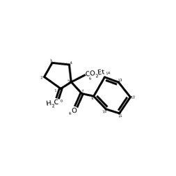 C=C1CCCC1(C(=O)OCC)C(=O)c1ccccc1